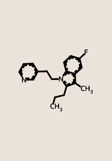 CCCc1c(C)c2cc(F)ccc2n1CCc1cccnc1